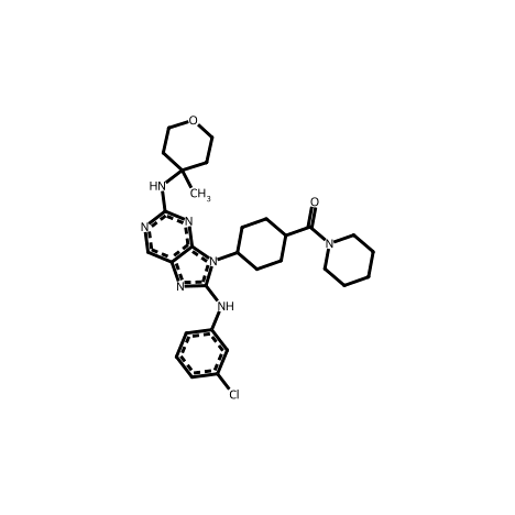 CC1(Nc2ncc3nc(Nc4cccc(Cl)c4)n(C4CCC(C(=O)N5CCCCC5)CC4)c3n2)CCOCC1